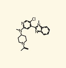 C=C(C)N1CCC(N(C)c2cc(-c3nc4ccccc4n3C)c(Cl)cn2)CC1